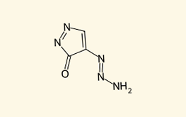 NN=NC1=CN=NC1=O